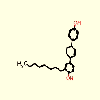 CCCCCCCCc1cc(C2C=CC(c3ccc(O)cc3)CC2)ccc1O